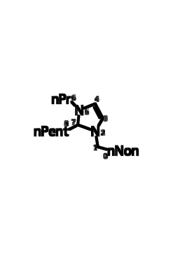 CCCCCCCCCCN1C=CN(CCC)C1CCCCC